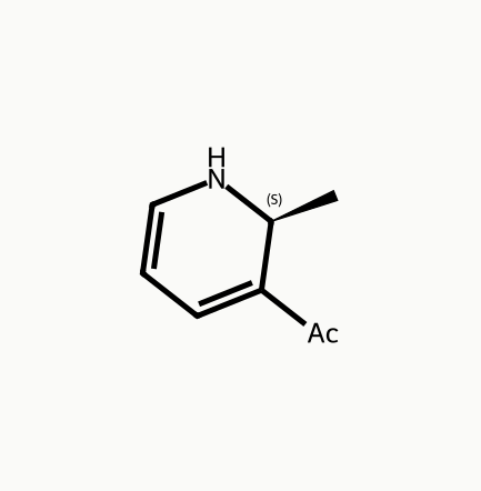 CC(=O)C1=CC=CN[C@H]1C